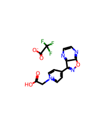 O=C(O)C[n+]1ccc(-c2noc3nccnc23)cc1.O=C([O-])C(F)(F)F